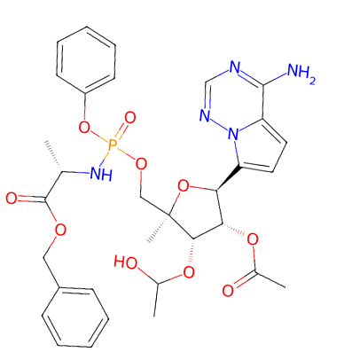 CC(=O)O[C@H]1[C@H](c2ccc3c(N)ncnn23)O[C@](C)(COP(=O)(N[C@@H](C)C(=O)OCc2ccccc2)Oc2ccccc2)[C@H]1OC(C)O